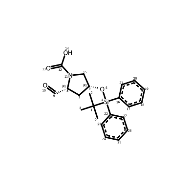 CC(C)(C)[Si](O[C@@H]1C[C@H](C=O)N(C(=O)O)C1)(c1ccccc1)c1ccccc1